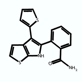 NC(=O)c1ccccc1-c1[nH]c2sccc2c1-c1cccs1